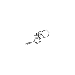 CN1CC2CCCC(C1)C2(O)c1ccc(C#N)s1